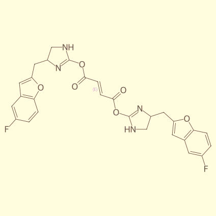 O=C(/C=C/C(=O)OC1=NC(Cc2cc3cc(F)ccc3o2)CN1)OC1=NC(Cc2cc3cc(F)ccc3o2)CN1